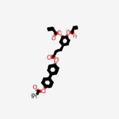 C=CC(=O)Oc1ccc(CCC(=O)Oc2ccc(-c3ccc(OC(=O)C(C)C)cc3)cc2)cc1OC(=O)C=C